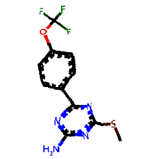 CSc1nc(N)nc(-c2ccc(OC(F)(F)F)cc2)n1